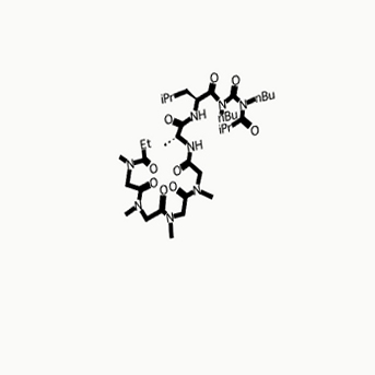 CCCCN(C(=O)C(C)C)C(=O)N(CCCC)C(=O)[C@H](CC(C)C)NC(=O)[C@@H](C)NC(=O)CN(C)C(=O)CN(C)C(=O)CN(C)C(=O)CN(C)C(=O)CC